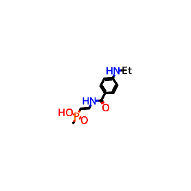 CCNc1ccc(C(=O)NCCP(C)(=O)O)cc1